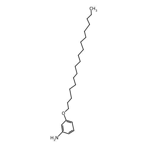 CCCCCCCCCCCCCCCCCCOc1cccc(N)c1